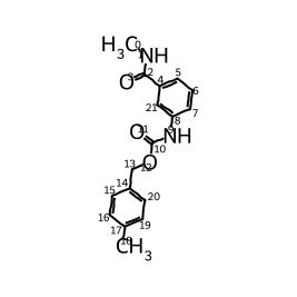 CNC(=O)c1cccc(NC(=O)OCc2ccc(C)cc2)c1